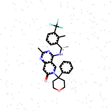 Cc1nc(N[C@@H](C)c2cccc(C(F)(F)F)c2C)c2cn(C3(c4ccccc4)CCOCC3)c(=O)cc2n1